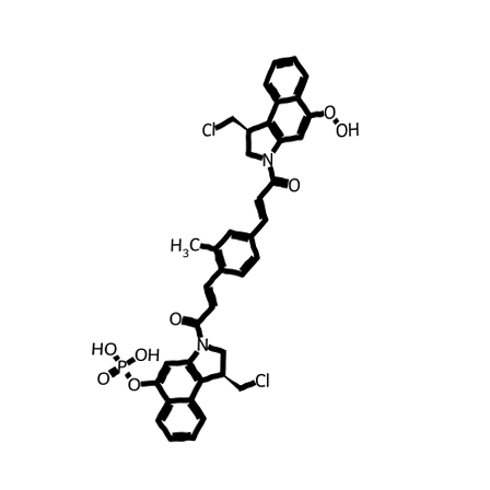 Cc1cc(/C=C/C(=O)N2C[C@@H](CCl)c3c2cc(OO)c2ccccc32)ccc1/C=C/C(=O)N1C[C@@H](CCl)c2c1cc(OP(=O)(O)O)c1ccccc21